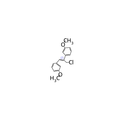 COc1cccc(/C=C(\CCl)c2cccc(OC)c2)c1